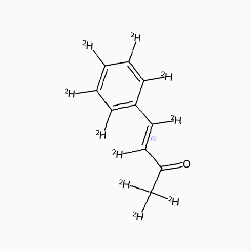 [2H]/C(C(=O)C([2H])([2H])[2H])=C(/[2H])c1c([2H])c([2H])c([2H])c([2H])c1[2H]